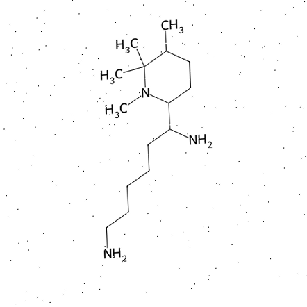 CC1CCC(C(N)CCCCCN)N(C)C1(C)C